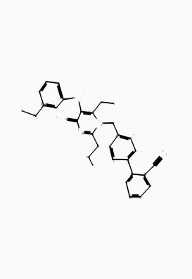 CCCc1nc(=O)c(Oc2cccc(CC)c2)c(CC)n1Cc1ccc(-c2ccccc2C#N)cc1